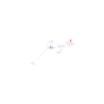 Cc1c[nH]c2c(OC(=S)N(C)CCN(CCc3ccc(NC(=O)[C@H](CCCNC(N)=O)NC(=O)[C@@H](NC(=O)CCOCCOCCOCCOCCOCCOCCN4C(=O)C=CC4=O)C(C)C)cc3)C(=O)O)cc3c(c12)[C@H](CCl)CN3C(=O)C12CC(C(=O)N3C[C@@H](CCl)c4c3cc(OP(=O)(O)O)c3[nH]cc(C)c43)(C1)C2